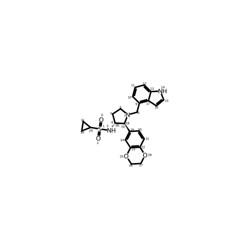 O=S(=O)(N[C@@H]1CCN(Cc2cccc3[nH]ccc23)[C@H]1c1ccc2c(c1)OCCO2)C1CC1